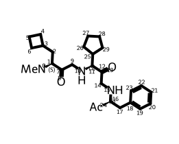 CN[C@@H](CC1CCC1)C(=O)CN[C@H](C(=O)CN[C@@H](Cc1ccccc1)C(C)=O)C1CCCC1